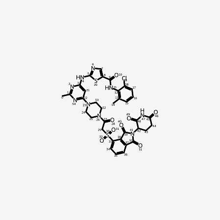 Cc1nc(Nc2ncc(C(=O)Nc3c(C)cccc3Cl)s2)cc(N2CCN(C(=O)CS(=O)(=O)c3cccc4c3C(=O)N(C3CCC(=O)NC3=O)C4=O)CC2)n1